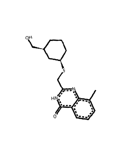 Cc1cccc2c(=O)[nH]c(CS[C@@H]3CCC[C@H](CO)C3)nc12